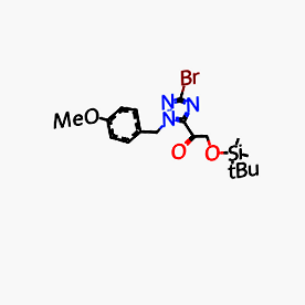 COc1ccc(Cn2nc(Br)nc2C(=O)CO[Si](C)(C)C(C)(C)C)cc1